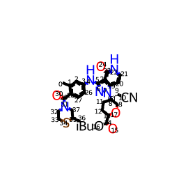 Cc1cc(Nc2nn([C@]3(CC#N)CCC(C(=O)OCC(C)C)OC3)c3cc[nH]c(=O)c23)ccc1C(=O)N1CCSC(C)C1